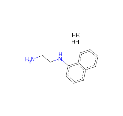 NCCNc1cccc2ccccc12.[HH].[HH]